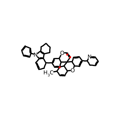 CC1C=CC2OC3C=C(C4CC=CC=N4)C=CC3C3(C4=CCCC=C4OC4C=C(C5CC=Cc6c5c5c(n6-c6ccccc6)CCCC5)C=CC43)C2C1